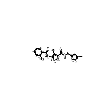 Cc1cc(CNC(=O)c2n[nH]c(NC(=O)c3ccccc3Cl)c2Br)no1